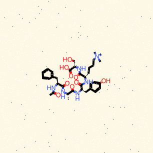 CC(=O)N[C@@H](Cc1ccccc1)C(=O)N[C@@H](C)C(=O)N[C@@H](Cc1ccc(O)cc1)C(=O)N[C@@H](CCCC[N+](C)(C)C)C(=O)N[C@@H](CO)C(=O)O